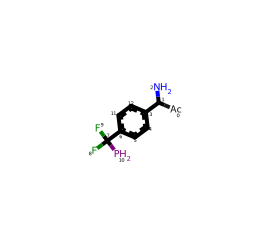 CC(=O)C(N)c1ccc(C(F)(F)P)cc1